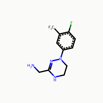 NCC1=NN(c2ccc(F)c(C(F)(F)F)c2)CCN1